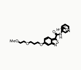 COCCOCCCOc1ccc2c(C(=O)N[C@@H]3CN4CCC3CC4)snc2c1